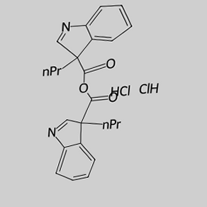 CCCC1(C(=O)OC(=O)C2(CCC)C=Nc3ccccc32)C=Nc2ccccc21.Cl.Cl